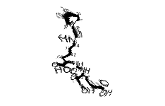 O=C(O)CC[C@H](NC(=O)N[C@H](CCCCNCN1C=CC=CC1)C(=O)O)C(=O)O